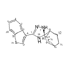 c1ccc2c(C3=NN[C@@]4(CC5CCC4CC5)N3)csc2c1